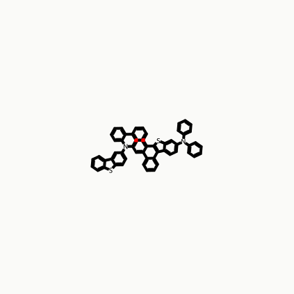 c1ccc(-c2ccccc2N(c2ccc3sc4ccccc4c3c2)c2ccc3c(c2)c2ccccc2c2c4ccc(N(c5ccccc5)c5ccccc5)cc4sc32)cc1